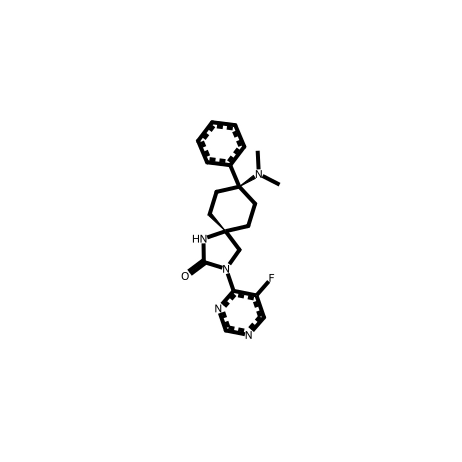 CN(C)[C@]1(c2ccccc2)CC[C@@]2(CC1)CN(c1ncncc1F)C(=O)N2